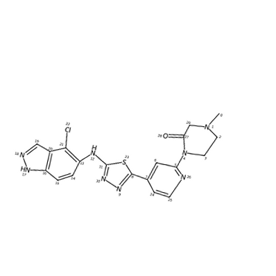 CN1CCN(c2cc(-c3nnc(Nc4ccc5[nH]ncc5c4Cl)s3)ccn2)C(=O)C1